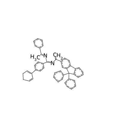 C=C(/N=C(\N=C(/C)c1ccccc1)c1ccc(C2=CCCC=C2)cc1)c1ccc2c(c1)C(c1ccccc1)(c1ccccc1)c1ccccc1-2